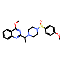 COc1ccc([S+]([O-])N2CCN(C(C)c3nc(OC)c4ccccc4n3)CC2)cc1